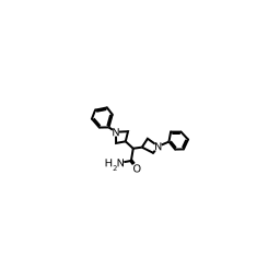 NC(=O)C(C1CN(c2ccccc2)C1)C1CN(c2ccccc2)C1